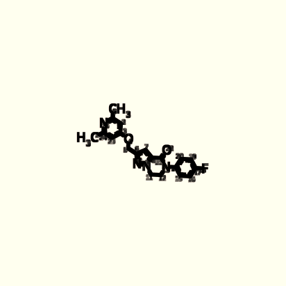 Cc1cc(OCc2cc3n(n2)CCN(c2ccc(F)cc2)C3=O)cc(C)n1